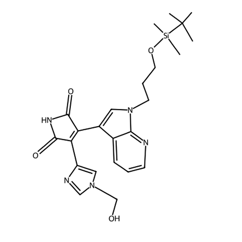 CC(C)(C)[Si](C)(C)OCCCn1cc(C2=C(c3cn(CO)cn3)C(=O)NC2=O)c2cccnc21